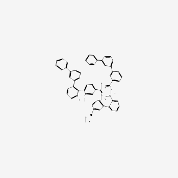 N#Cc1cccc(-c2ccccc2-c2nc(-c3cccc(-c4cccc(-c5ccccc5)c4)c3)nc(-c3ccc4c(c3)oc3cccc(-c5cccc(-c6ccccc6)c5)c34)n2)c1